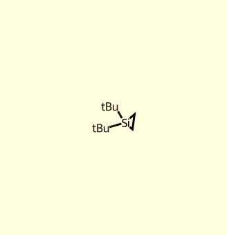 CC(C)(C)[Si]1(C(C)(C)C)CC1